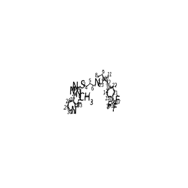 Cn1c(SCCCN2CC[C@]3(CC3c3ccc(C(F)(F)F)cc3)C2)nnc1-c1cccnc1F